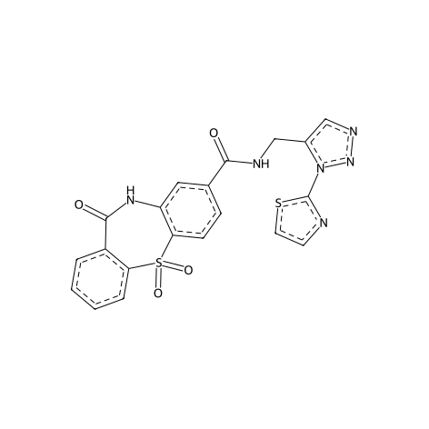 O=C(NCc1cnnn1-c1nccs1)c1ccc2c(c1)NC(=O)c1ccccc1S2(=O)=O